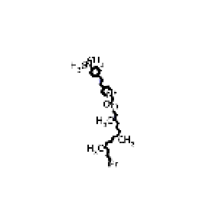 C/C(=C\COC(=O)C[n+]1ccc(/C=C/c2ccc(N(C)C)cc2)cc1)CCCC(C)CCCC(C)CCCC(C)C